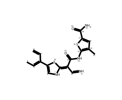 C=C/C(=C\C)C1=CN/C(=C(\C=N)C(=O)Nc2sc(C(N)=O)cc2C)S1